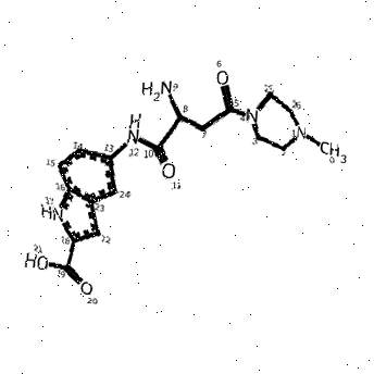 CN1CCN(C(=O)CC(N)C(=O)Nc2ccc3[nH]c(C(=O)O)cc3c2)CC1